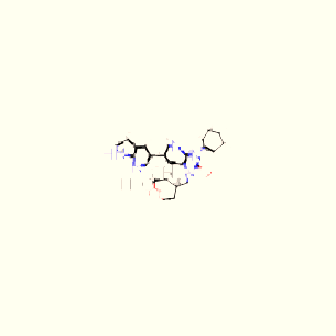 CC1(C)CC(Cn2c(=O)n(C3=CCCCC3)c3ncc(-c4cnc5[nH]ccc5c4)cc32)CCO1